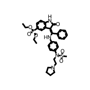 CCOP(=O)(OCC)c1ccc2c(c1)C(=C(Nc1ccc(N(CCN3CCCC3)S(C)(=O)=O)cc1)c1ccccc1)C(=O)N2